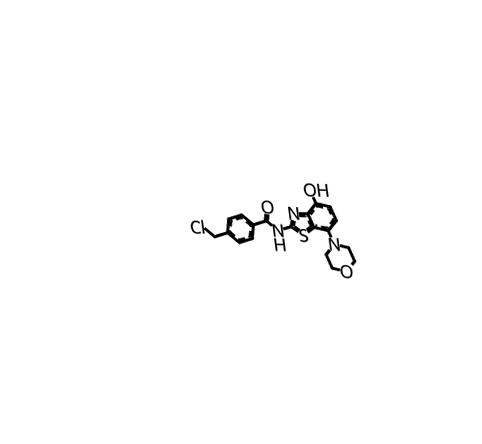 O=C(Nc1nc2c(O)ccc(N3CCOCC3)c2s1)c1ccc(CCl)cc1